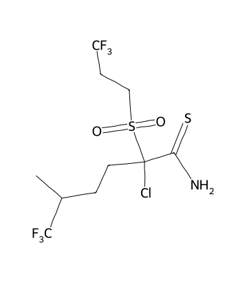 CC(CCC(Cl)(C(N)=S)S(=O)(=O)CCC(F)(F)F)C(F)(F)F